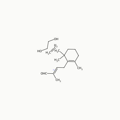 C=C.CC1=C(C/C=C(\C)C=O)C(C)(C)CCC1.OCCO